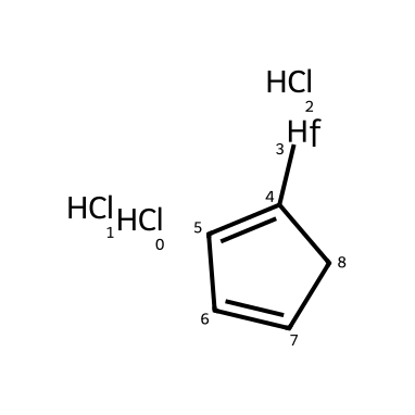 Cl.Cl.Cl.[Hf][C]1=CC=CC1